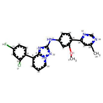 COc1cc(Nc2nc3c(-c4ccc(F)cc4Cl)cccn3n2)ccc1-c1cc(C)ncn1